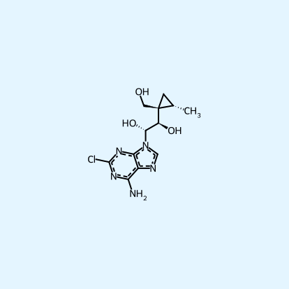 C[C@H]1C[C@@]1(CO)[C@@H](O)[C@@H](O)n1cnc2c(N)nc(Cl)nc21